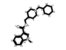 Cn1cc(C(=O)OCC2CCN(CC3CCCCC3)CC2)c2ccccc21